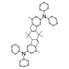 Cc1cc(N(c2ccccc2)c2ccccc2)cc2c1C=C1C2C(C)(C)C2=C(c3cc(N(c4ccccc4)c4ccccc4)cc(C)c3C2)C1(C)C